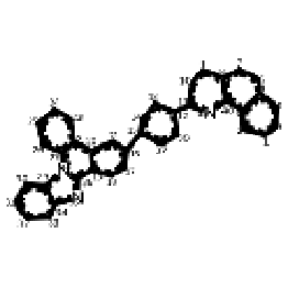 c1ccc2c(c1)ccc1ccc(-c3ccc(-c4ccc5c(c4)c4ccccc4n4c6ccccc6nc54)cc3)nc12